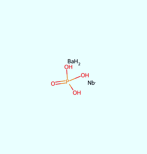 O=P(O)(O)O.[BaH2].[Nb]